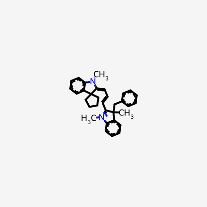 CN1/C(=C/C=C/C2=[N+](C)c3ccccc3C2(C)Cc2ccccc2)C2(CCCC2)c2ccccc21